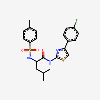 Cc1ccc(S(=O)(=O)NC(CC(C)C)C(=O)Nc2nc(-c3ccc(F)cc3)cs2)cc1